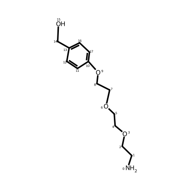 NCCOCCOCCOc1ccc(CO)cc1